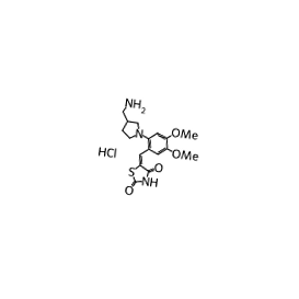 COc1cc(C=C2SC(=O)NC2=O)c(N2CCC(CN)C2)cc1OC.Cl